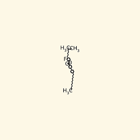 CCCCCCCCCCCCc1ccc(-c2ccc(C(=O)Oc3ccc(CCCCCC(C)CC)c(F)c3)cc2)cc1